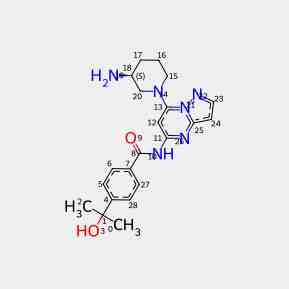 CC(C)(O)c1ccc(C(=O)Nc2cc(N3CCC[C@H](N)C3)n3nccc3n2)cc1